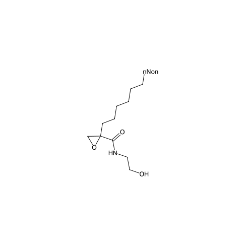 CCCCCCCCCCCCCCCC1(C(=O)NCCO)CO1